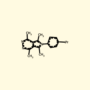 Cc1nnc(C)c2c(C)n(-c3ccc(C(C)C)cc3)c(C)c12